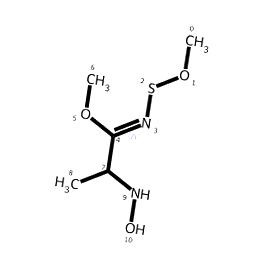 COS/N=C(\OC)C(C)NO